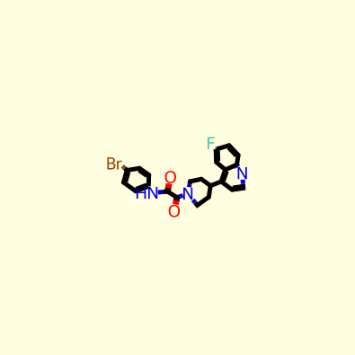 O=C(Nc1ccc(Br)cc1)C(=O)N1CCC(c2ccnc3ccc(F)cc23)CC1